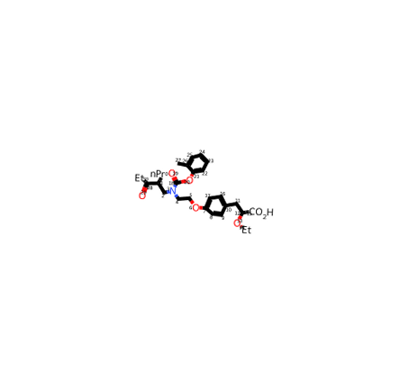 CCCC(CN(CCOc1ccc(CC(OCC)C(=O)O)cc1)C(=O)Oc1ccccc1C)C(=O)CC